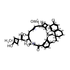 CO[C@H]1/C=C/C[C@H](C)C(NC(=O)[C@H]2C[C@@](C)(O)C2)/[SH](=O)=N\C(=O)c2ccc3c(c2)N(C[C@@H]2CC[C@H]21)C[C@@]1(CCCc2cc(Cl)ccc21)CO3